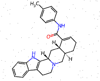 Cc1ccc(NC(=O)C2=CCC[C@H]3CN4CCc5c([nH]c6ccccc56)[C@@H]4C[C@H]23)cc1